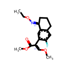 CCO/N=C1\CCCc2cc(F)c(/C(=C\OC)C(=O)OC)cc21